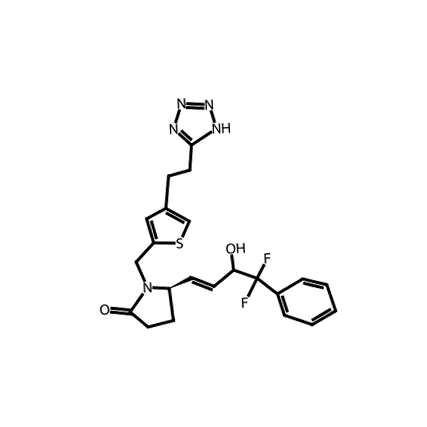 O=C1CC[C@H](C=CC(O)C(F)(F)c2ccccc2)N1Cc1cc(CCc2nnn[nH]2)cs1